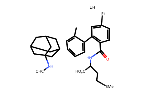 CCc1ccc(C(=O)NC(CCSC)C(=O)O)c(-c2ccccc2C)c1.O=CNC12CC3CC(CC(C3)C1)C2.[LiH]